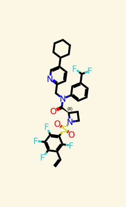 C=Cc1c(F)c(F)c(F)c(S(=O)(=O)N2CC[C@@H]2C(=O)N(Cc2ccc(C3CCCCC3)cn2)c2cccc(C(F)F)c2)c1F